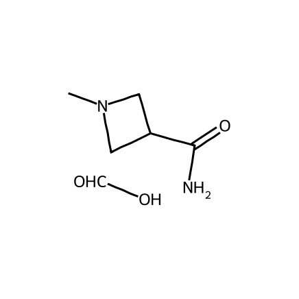 CN1CC(C(N)=O)C1.O=CO